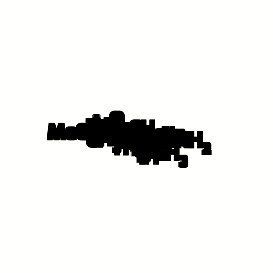 COc1ccc(C[C@@H](N)C(=O)NCC(C)(C)C(=O)O[C@@H](CC(C)C)C(=O)OC(C)C(O)c2ccc(CN)cc2)cc1Cl